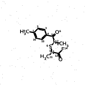 Cc1ccc(C(=O)N(C)SN(C)C(=O)F)cc1